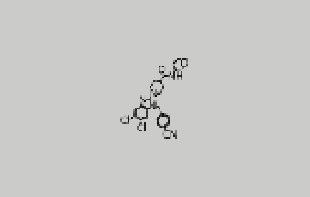 N#Cc1ccc(Cn2c(N3CCC(C(=O)NC4CCOC4)CC3)nc3cc(Cl)c(Cl)cc32)cc1